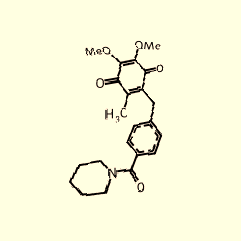 COC1=C(OC)C(=O)C(Cc2ccc(C(=O)N3CCCCC3)cc2)=C(C)C1=O